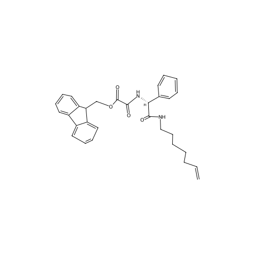 C=CCCCCCNC(=O)[C@H](NC(=O)C(=O)OCC1c2ccccc2-c2ccccc21)c1ccccc1